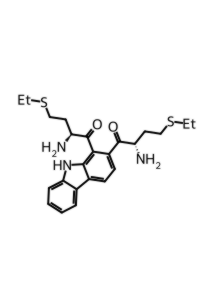 CCSCC[C@H](N)C(=O)c1ccc2c([nH]c3ccccc32)c1C(=O)[C@@H](N)CCSCC